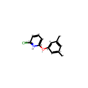 Cc1cc(C)cc(Oc2cccc(Cl)n2)c1